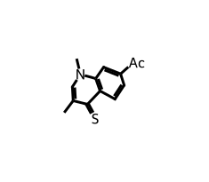 CC(=O)c1ccc2c(=S)c(C)cn(C)c2c1